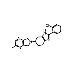 Cc1cnc2c(n1)CN(C1CCc3nc(-c4ccccc4Cl)[nH]c3C1)C2